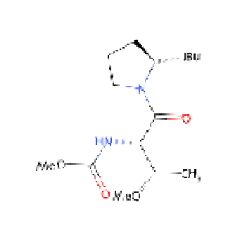 CC[C@@H](C)[C@@H]1CCCN1C(=O)[C@@H](NC(=O)OC)[C@H](C)OC